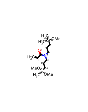 C=CC(=O)N(CCC[Si](C)(C)OC)CCC[Si](C)(OC)OC